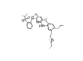 CC/C=N/CCc1cc(Nc2ncc(Cl)c(Nc3ccccc3S(=O)(=O)C(C)C)n2)c(OC)cc1CCC